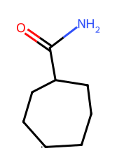 NC(=O)C1CC[CH]CCC1